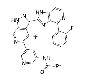 CC(C)C(=O)Nc1cncc(-c2ncc3[nH]nc(-c4nc5c(-c6ccccc6F)nccc5[nH]4)c3c2F)c1